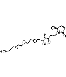 O=C(CCN1C(=O)C=CC1=O)NC(O)COCCOCCOCCO